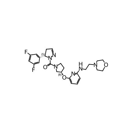 O=C(N1CC[C@@H](Oc2cccc(NCCN3CCOCC3)n2)C1)N1N=CC[C@H]1c1cc(F)cc(F)c1